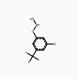 OBOc1cc(Cl)cc(C(F)(F)F)c1